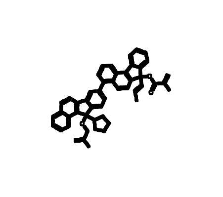 C=C(C)COC1(C2CCCC2)c2ccc(-c3cccc4c5c(ccc34)C(/C=C/C)(OC(=O)C(=C)C)c3ccccc3-5)cc2-c2ccc3ccccc3c21